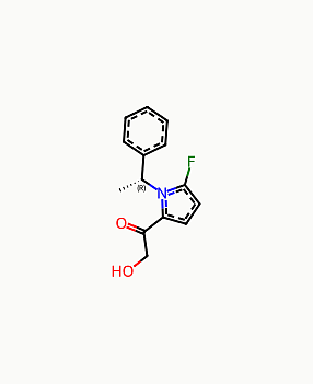 C[C@H](c1ccccc1)n1c(F)ccc1C(=O)CO